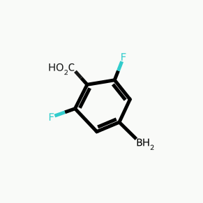 Bc1cc(F)c(C(=O)O)c(F)c1